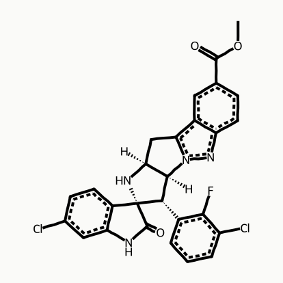 COC(=O)c1ccc2nn3c(c2c1)C[C@@H]1N[C@@]2(C(=O)Nc4cc(Cl)ccc42)[C@@H](c2cccc(Cl)c2F)[C@@H]13